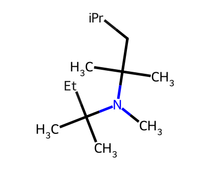 CCC(C)(C)N(C)C(C)(C)CC(C)C